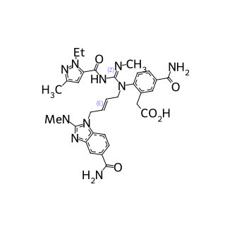 CCn1nc(C)cc1C(=O)N/C(=N/C)N(C/C=C/Cn1c(NC)nc2cc(C(N)=O)ccc21)c1ccc(C(N)=O)cc1CC(=O)O